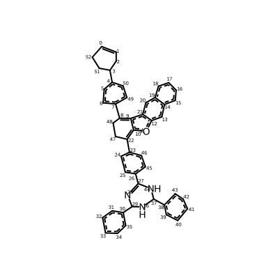 C1=CCC(c2ccc(C3=c4c(oc5cc6ccccc6cc45)=C(c4ccc(C5=NC(c6ccccc6)NC(c6ccccc6)N5)cc4)CC3)cc2)CC1